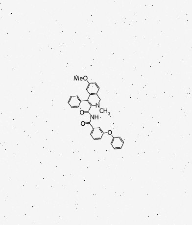 COc1ccc2c(c1)C(c1ccccc1)=C(C(=O)NC(=O)c1cccc(Oc3ccccc3)c1)N(C)C2